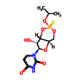 CC(C)OP1(=S)OC[C@H]2O[C@@H](n3ccc(=O)[nH]c3=O)[C@H](O)[C@@H]2O1